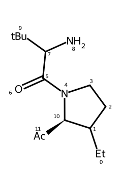 CCC1CCN(C(=O)C(N)C(C)(C)C)[C@@H]1C(C)=O